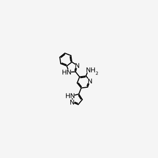 Nc1ncc(-c2ccn[nH]2)cc1-c1nc2ccccc2[nH]1